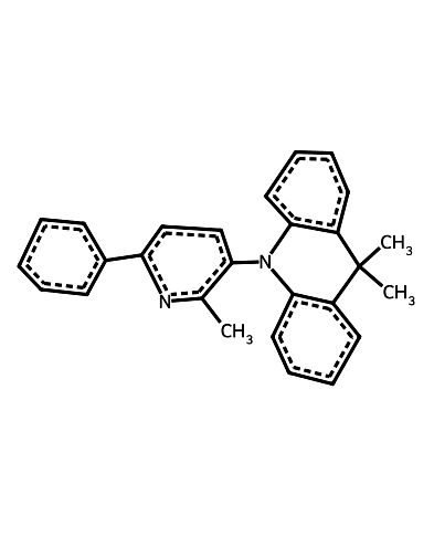 Cc1nc(-c2ccccc2)ccc1N1c2ccccc2C(C)(C)c2ccccc21